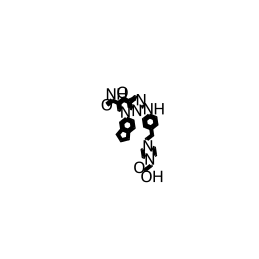 NC(=O)c1cn(-c2ccc3c(c2)CCC3)c2nc(Nc3ccc(CCN4CCN(CC(=O)O)CC4)cc3)ncc2c1=O